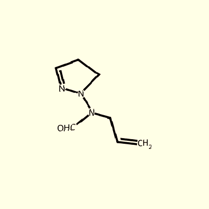 C=CCN(C=O)N1CCC=N1